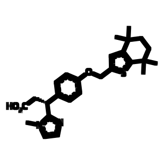 Cn1ccnc1[C@H](CC(=O)O)c1ccc(OCc2cc3c(s2)C(C)(C)CCC3(C)C)cc1